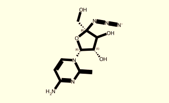 C=C1N=C(N)C=CN1[C@@H]1O[C@@](CO)(N=[N+]=[N-])C(O)[C@@H]1O